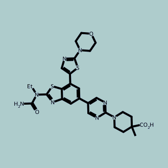 CCN(C(N)=O)c1nc2cc(-c3cnc(N4CCC(C)(C(=O)O)CC4)nc3)cc(-c3cnc(N4CCOCC4)s3)c2s1